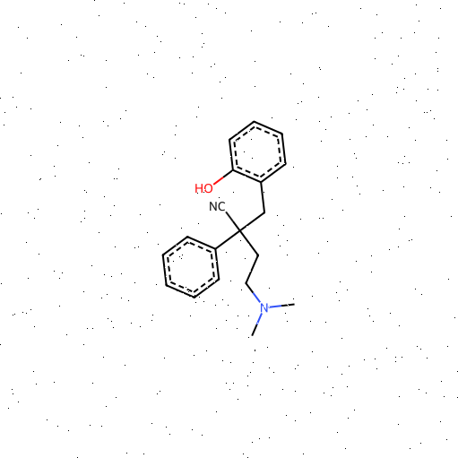 CN(C)CCC(C#N)(Cc1ccccc1O)c1ccccc1